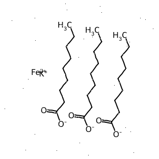 CCCCCCCCC(=O)[O-].CCCCCCCCC(=O)[O-].CCCCCCCCC(=O)[O-].[Fe+2].[K+]